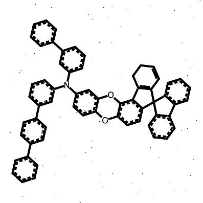 C1=CC2=C(CC1)c1c(ccc3c1Oc1cc(N(c4cccc(-c5ccccc5)c4)c4cccc(-c5ccc(-c6ccccc6)cc5)c4)ccc1O3)C21c2ccccc2-c2ccccc21